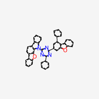 c1ccc(-c2nc(-c3cc(-c4ccccc4)c4c(c3)oc3ccccc34)nc(-n3c4ccccc4c4ccc5c6ccccc6oc5c43)n2)cc1